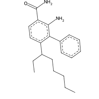 CCCCCC(CC)c1ccc(C(N)=O)c(N)c1-c1ccccc1